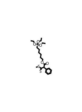 CCO[Si](CCCCCCOC(=O)C(C(=S)SC)c1ccccc1)(OCC)OCC